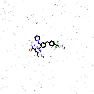 Cc1cc(C(N)=O)nc(-c2ccc(Cc3ccc(C(C)(F)F)cc3)cc2CN2CCCCC2)n1